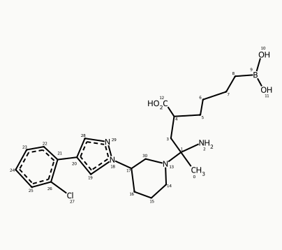 CC(N)(CC(CCCCB(O)O)C(=O)O)N1CCCC(n2cc(-c3ccccc3Cl)cn2)C1